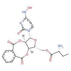 CC[C@@H](N)C(=O)OC[C@H]1O[C@@H](n2ccc(NO)nc2=O)[C@@H]2OC(=O)c3ccccc3C(=O)O[C@@H]21